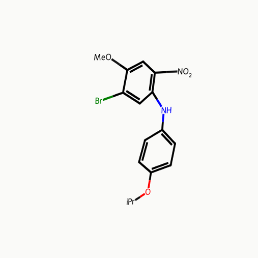 COc1cc([N+](=O)[O-])c(Nc2ccc(OC(C)C)cc2)cc1Br